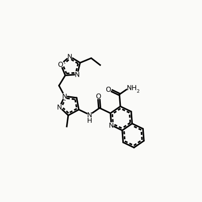 CCc1noc(Cn2cc(NC(=O)c3nc4ccccc4cc3C(N)=O)c(C)n2)n1